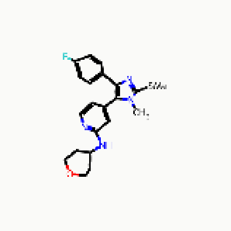 CSc1nc(-c2ccc(F)cc2)c(-c2ccnc(NC3CCOCC3)c2)n1C